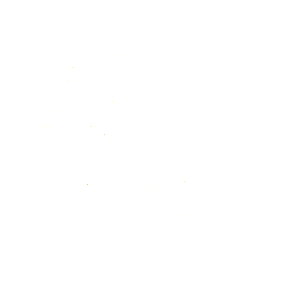 N#Cc1ccc(-c2cccc(-n3c4ccccc4c4ccccc43)c2)c(-n2c3ccccc3c3ccc4oc5ccccc5c4c32)c1